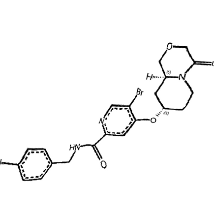 O=C(NCc1ccc(Cl)cc1)c1cc(O[C@H]2CCN3C(=O)COC[C@@H]3C2)c(Br)cn1